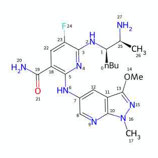 CCCC[C@@H](Nc1nc(Nc2cnc3c(c2)c(OC)nn3C)c(C(N)=O)cc1F)[C@H](C)N